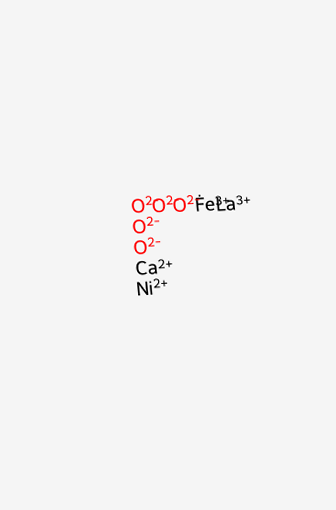 [Ca+2].[Fe+3].[La+3].[Ni+2].[O-2].[O-2].[O-2].[O-2].[O-2]